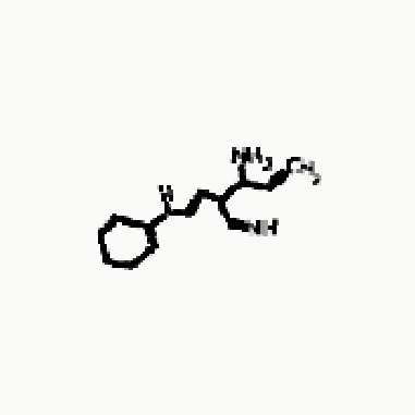 C=CC(N)C(C=N)C=CNC1CCCCC1